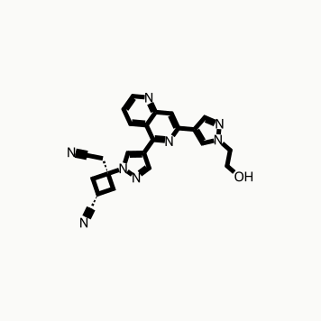 N#CC[C@]1(n2cc(-c3nc(-c4cnn(CCO)c4)cc4ncccc34)cn2)C[C@H](C#N)C1